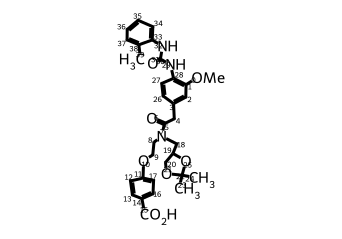 COc1cc(CC(=O)N(CCOc2ccc(C(=O)O)cc2)CC2COC(C)(C)O2)ccc1NC(=O)Nc1ccccc1C